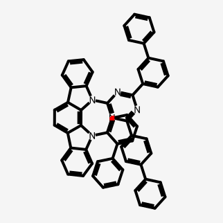 c1ccc(-c2ccc(-c3nc(-c4cccc(-c5ccccc5)c4)nc(-n4c5ccccc5c5ccc6c7ccccc7n(-c7ccccc7-c7ccccc7)c6c54)n3)cc2)cc1